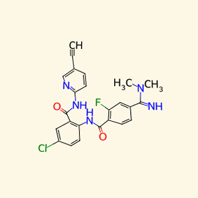 C#Cc1ccc(NC(=O)c2cc(Cl)ccc2NC(=O)c2ccc(C(=N)N(C)C)cc2F)nc1